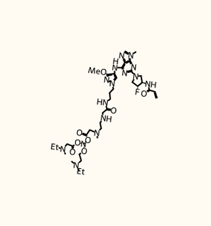 C=CC(=O)N[C@@H]1CN(c2nc(Nc3cn(CCCNC(=O)CNCCN(C)CC(=O)ON(OCCN(C)CC)OC(=O)CN(C)CC)nc3OC)c3ncn(C)c3n2)C[C@H]1F